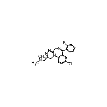 CN(C)CC1=NN=C2CN=C(c3ccccc3F)c3cc(Cl)ccc3N2C1